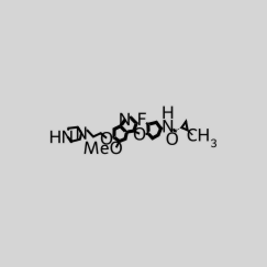 COc1cc2c(Oc3ccc(NC(=O)[C@@H]4C[C@H]4C)cc3F)ccnc2cc1OCCCN1CCNCC1